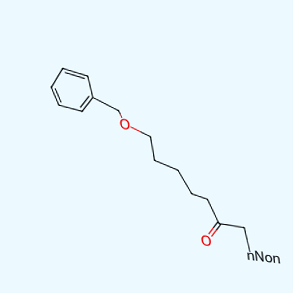 CCCCCCCCCCC(=O)CCCCCOCc1ccccc1